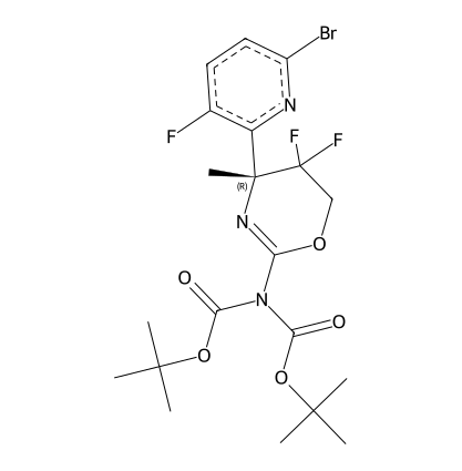 CC(C)(C)OC(=O)N(C(=O)OC(C)(C)C)C1=N[C@](C)(c2nc(Br)ccc2F)C(F)(F)CO1